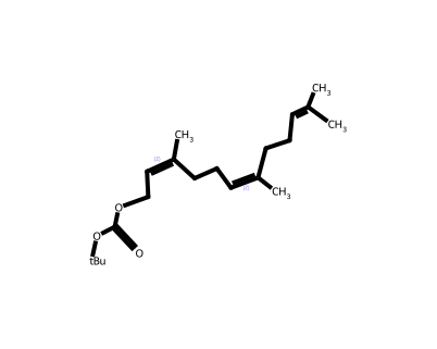 CC(C)=CCC/C(C)=C\CC/C(C)=C\COC(=O)OC(C)(C)C